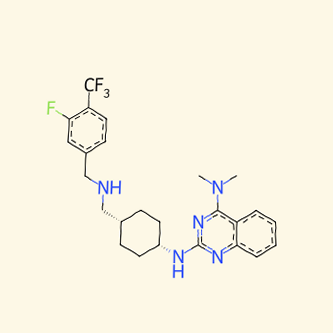 CN(C)c1nc(N[C@H]2CC[C@@H](CNCc3ccc(C(F)(F)F)c(F)c3)CC2)nc2ccccc12